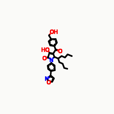 CCCCC(CCCC)C1C(C(=O)c2ccc(CO)cc2)=C(O)C(=O)N1c1ccc(-c2ccon2)cc1